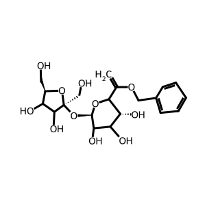 C=C(OCc1ccccc1)C1O[C@H](O[C@]2(CO)O[C@H](CO)C(O)C2O)C(O)C(O)[C@H]1O